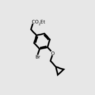 CCOC(=O)Cc1ccc(OCC2CC2)c(Br)c1